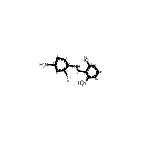 Nc1ccc(NCc2c(N)cccc2O)c(Cl)c1